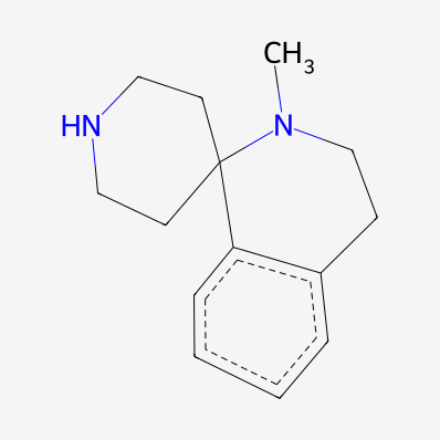 CN1CCc2ccccc2C12CCNCC2